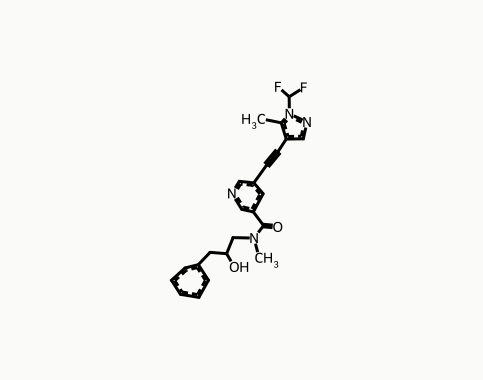 Cc1c(C#Cc2cncc(C(=O)N(C)CC(O)Cc3ccccc3)c2)cnn1C(F)F